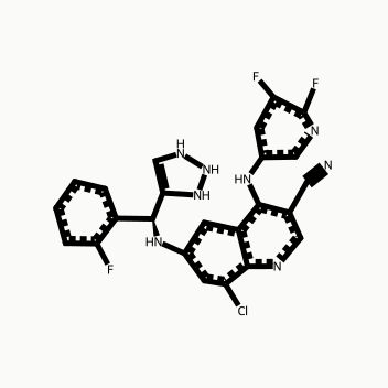 N#Cc1cnc2c(Cl)cc(N[C@H](C3=CNNN3)c3ccccc3F)cc2c1Nc1cnc(F)c(F)c1